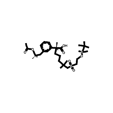 CC(=O)O[C@@H](C)Cc1cccc([C@@](C)(CCCC(C)(C)CS(=O)(=O)CCO[Si](C)(C)C(C)(C)C)C(=O)O)c1